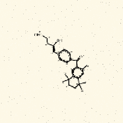 Cc1cc2c(cc1C(=O)c1ccc(/C=C(\O)CCC=O)cc1)C(C)(C)CCC2(C)C